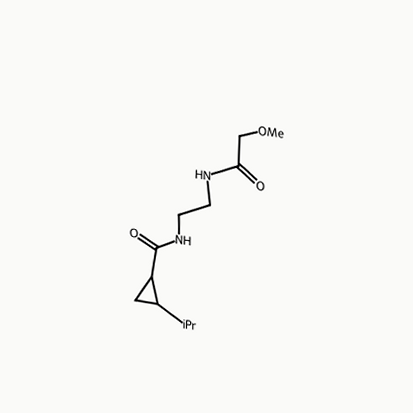 COCC(=O)NCCNC(=O)C1CC1C(C)C